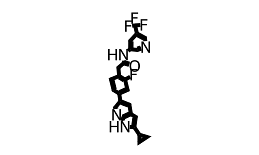 O=C(Cc1ccc(-c2cnc3[nH]c(C4CC4)cc3c2)cc1F)Nc1cncc(C(F)(F)F)c1